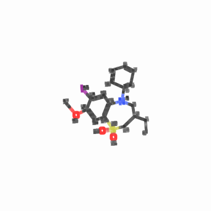 CCC1CN(c2ccccc2)c2cc(I)c(OC)cc2S(=O)(=O)C1